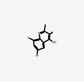 Cc1nc2c(F)cc(Br)cc2c(O)c1C